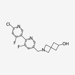 OC1CC2(C1)CN(Cc1cnc(-c3cnc(Cl)cc3F)c(F)c1)C2